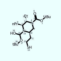 CCC[C@H]1[C@H](CC)N(C(=O)OC(C)(C)C)C[C@@H](CCS)N1C(O)OC(C)(C)C